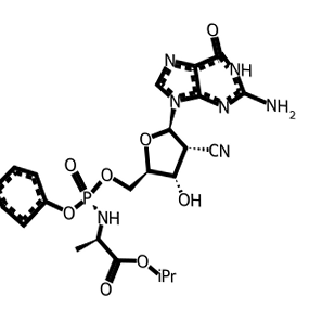 CC(C)OC(=O)[C@@H](C)N[P@](=O)(OC[C@H]1O[C@@H](n2cnc3c(=O)[nH]c(N)nc32)[C@H](C#N)[C@@H]1O)Oc1ccccc1